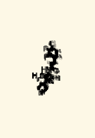 Cc1c(-c2ccncc2)n[nH]c1NC(=O)C=Cc1ccc(Cl)c(F)c1F